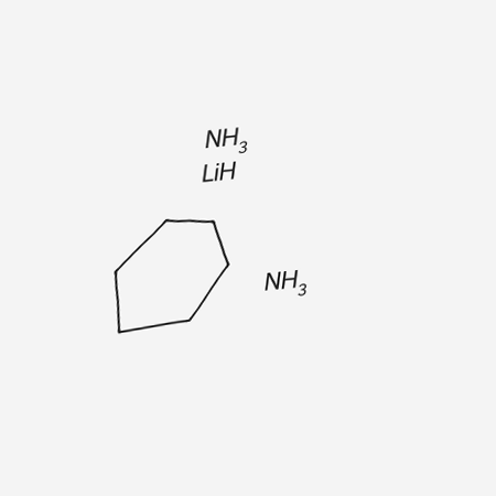 C1CCCCC1.N.N.[LiH]